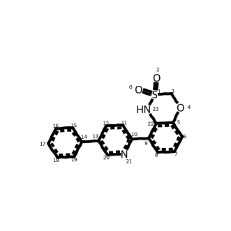 O=S1(=O)COc2cccc(-c3ccc(-c4ccccc4)cn3)c2N1